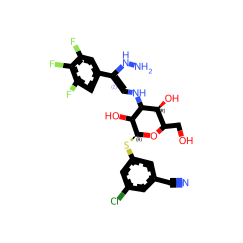 N#Cc1cc(Cl)cc(S[C@H]2OC(CO)[C@H](O)C(N/C=C(\NN)c3cc(F)c(F)c(F)c3)C2O)c1